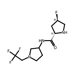 O=C(NC1CCN(CC(F)(F)F)C1)[C@@H]1C[C@@H](F)CN1